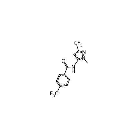 Cn1nc(C(F)(F)F)cc1NC(=O)c1ccc(C(F)(F)F)cc1